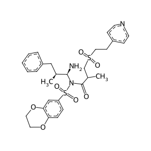 CC(CS(=O)(=O)CCc1ccncc1)C(=O)N([C@H](N)[C@@H](C)Cc1ccccc1)S(=O)(=O)c1ccc2c(c1)OCCO2